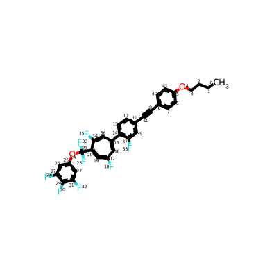 CCCCOc1ccc(C#Cc2ccc(C3=CC(F)=C=C(C(F)(F)Oc4cc(F)c(F)c(F)c4)C(F)=C3)c(F)c2)cc1